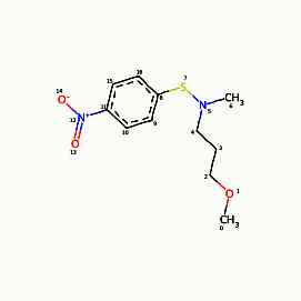 COCCCN(C)Sc1ccc([N+](=O)[O-])cc1